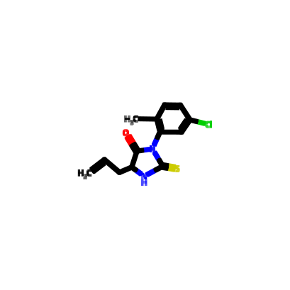 C=CCC1NC(=S)N(c2cc(Cl)ccc2C)C1=O